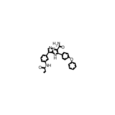 C=CC(=O)Nc1cccc(-c2cnn3c(C(N)=O)c(-c4ccc(Oc5ccccc5)cc4)[nH]c23)c1